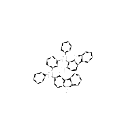 Clc1c(N(c2ccccc2)c2ccc3sc4ccccc4c3c2)cccc1N(c1ccccc1)c1cccc2c1sc1ccccc12